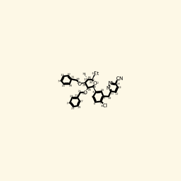 CC[C@H]1O[C@@H](c2ccc(Cl)c(Cc3ccc(C#N)nn3)c2)[C@H](OCc2ccccc2)[C@@H](OCc2ccccc2)[C@@H]1C